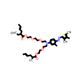 C/C=C/CC(CC)C(=O)OCCOCCN(CCOCCOCCOC(=O)C(CC=O)C/C=C/C)c1ccc(/N=N/c2sc(C#N)c(C)c2C#N)c(C)c1